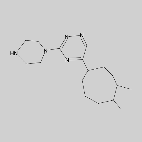 CC1CCCC(c2cnnc(N3CCNCC3)n2)CCC1C